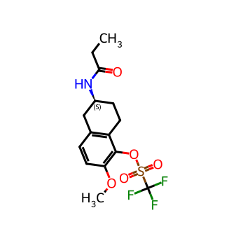 CCC(=O)N[C@H]1CCc2c(ccc(OC)c2OS(=O)(=O)C(F)(F)F)C1